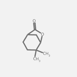 CC1(C)CCC2CC1OC2=O